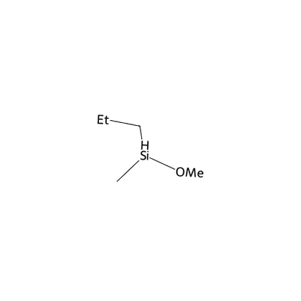 CCC[SiH](C)OC